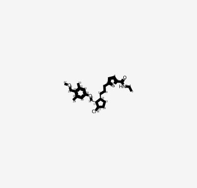 CCNC(=O)c1ccc(CCC[C@H]2CCC(Cl)[C@@H]2COc2cc(C)c(COC)c(C)c2)s1